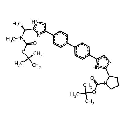 C[C@@H](c1nc(-c2ccc(-c3ccc(-c4cnc(C5CCCN5C(=O)OC(C)(C)C)[nH]4)cc3)cc2)c[nH]1)N(C)C(=O)OC(C)(C)C